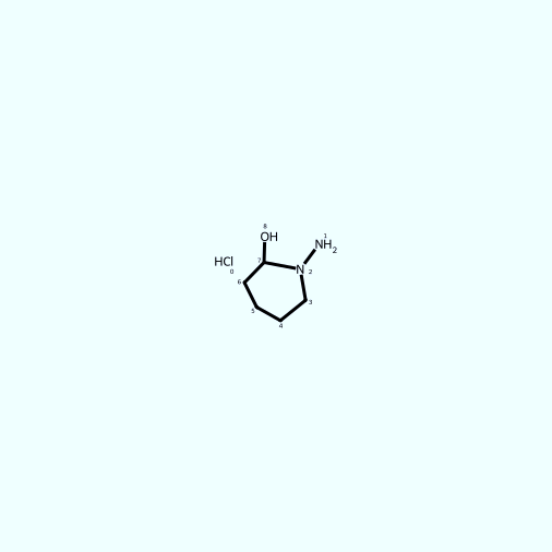 Cl.NN1CCCCC1O